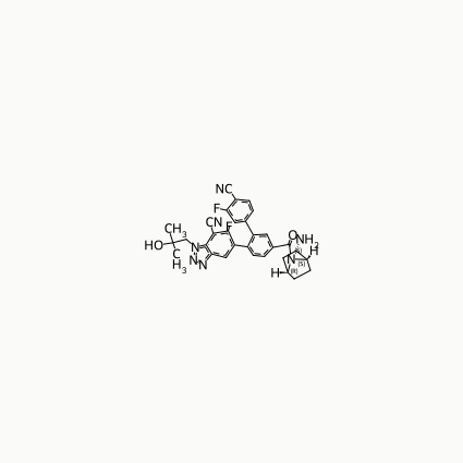 CC(C)(O)Cn1nnc2cc(-c3ccc(C(=O)N4[C@@H]5CC[C@H]4[C@@H](N)C5)cc3-c3ccc(C#N)c(F)c3)c(F)c(C#N)c21